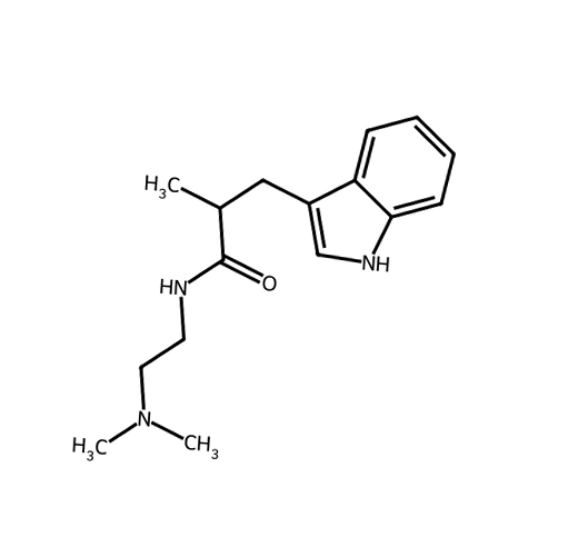 CC(Cc1c[nH]c2ccccc12)C(=O)NCCN(C)C